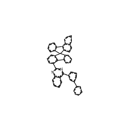 c1ccc(-c2cccc(-c3nc(-c4cccc5c4-c4ccccc4C54c5ccccc5-c5c4ccc4ccccc54)nc4ccccc34)c2)cc1